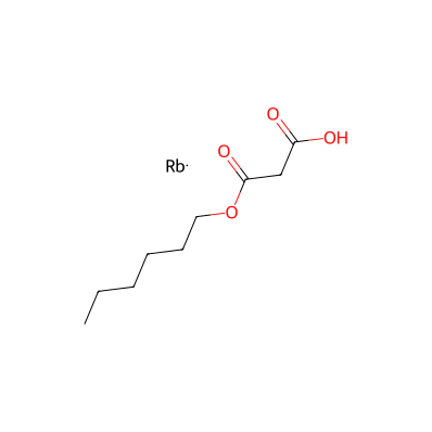 CCCCCCOC(=O)CC(=O)O.[Rb]